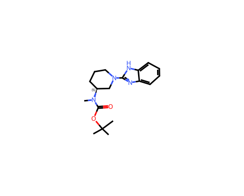 CN(C(=O)OC(C)(C)C)[C@H]1CCCN(c2nc3ccccc3[nH]2)C1